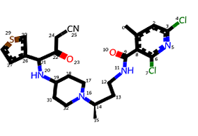 Cc1cc(Cl)nc(Cl)c1C(=O)NCC[C@@H](C)N1CCC(NC(C(=O)CC#N)c2ccsc2)CC1